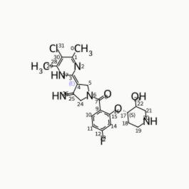 CC1=N/C(=C2\CN(C(=O)c3ccc(F)cc3O[C@H]3CCNCC3O)CC2=N)NC(C)=C1Cl